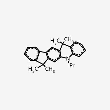 CC(C)N1c2ccccc2C(C)(C)c2cc3c(cc21)C(C)(C)c1ccccc1-3